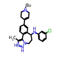 CCC(C)N1CC=C(c2ccc3c(c2)C(Nc2cccc(Cl)c2)CCN2NNC(C)=C32)CC1